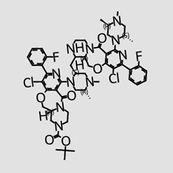 C[C@@H]1CN(c2nc(-c3ccccc3F)c(Cl)c3c2C(=O)N2CCN(C(=O)OC(C)(C)C)C[C@@H]2CO3)[C@@H](CC2NCCN3C(=O)c4c(N5C[C@@H](C)N(C)C[C@@H]5C)nc(-c5ccccc5F)c(Cl)c4OC[C@@H]23)CN1C